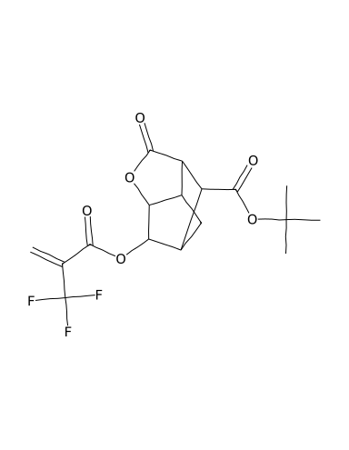 C=C(C(=O)OC1C2CC3C1OC(=O)C3C2C(=O)OC(C)(C)C)C(F)(F)F